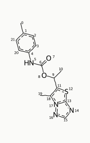 Cc1ccc(NC(=O)OC(C)c2sc3ncnn3c2C)cc1